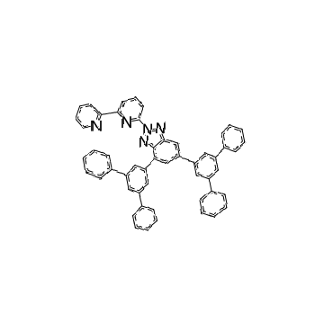 c1ccc(-c2cc(-c3ccccc3)cc(-c3cc(-c4cc(-c5ccccc5)cc(-c5ccccc5)c4)c4nn(-c5cccc(-c6ccccn6)n5)nc4c3)c2)cc1